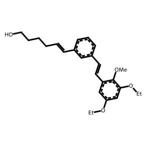 CCOc1cc(C=Cc2cccc(C=CCCCCO)c2)c(OC)c(OCC)c1